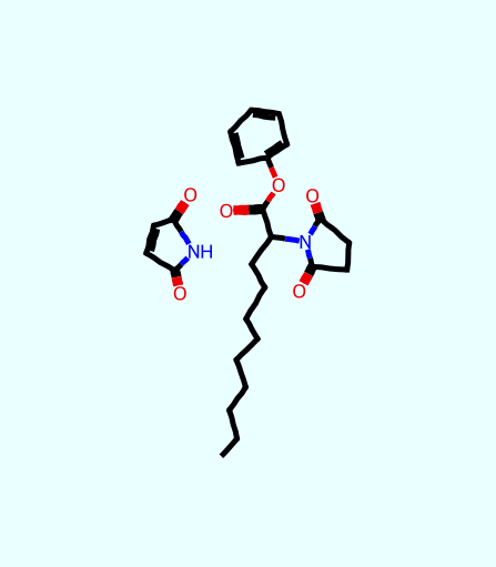 CCCCCCCCCC(C(=O)Oc1ccccc1)N1C(=O)CCC1=O.O=C1C=CC(=O)N1